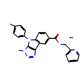 Cn1nnc2c3cc(C(=O)N[C@H](CO)c4ccccn4)ccc3n(-c3ccc(C(F)(F)F)cc3)c21